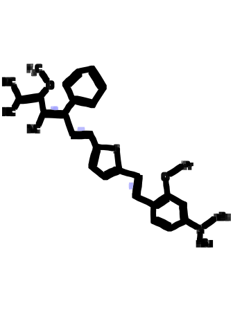 CCCCN(CCCC)c1ccc(/C=C/c2ccc(/C=C/C(=C(\C#N)C(OC(F)(F)F)=C(C#N)C#N)c3ccccc3)s2)c(OC(C)C)c1